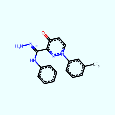 N/N=C(\Nc1ccccc1)c1nn(-c2cccc(C(F)(F)F)c2)ccc1=O